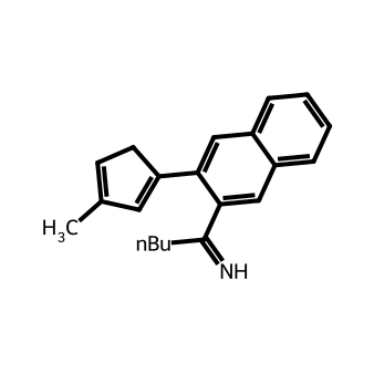 CCCCC(=N)c1cc2ccccc2cc1C1=CC(C)=CC1